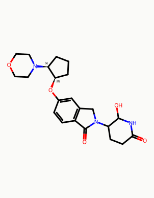 O=C1CCC(N2Cc3cc(O[C@@H]4CCC[C@@H]4N4CCOCC4)ccc3C2=O)C(O)N1